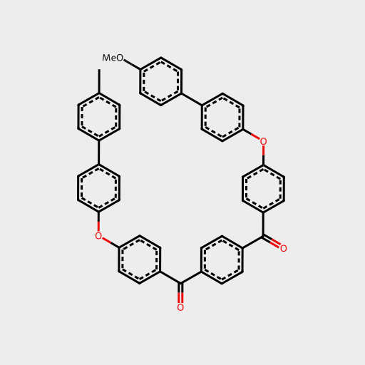 COc1ccc(-c2ccc(Oc3ccc(C(=O)c4ccc(C(=O)c5ccc(Oc6ccc(-c7ccc(C)cc7)cc6)cc5)cc4)cc3)cc2)cc1